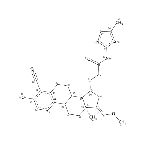 CO/N=C1\C[C@@H](CCC(=O)Nc2ncc(C)s2)C2C3CCc4c(ccc(O)c4C#N)C3CC[C@]12C